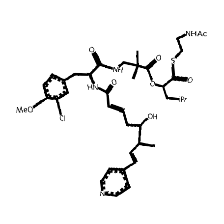 COc1ccc(CC(NC(=O)/C=C/CC(O)C(C)/C=C/c2ccncc2)C(=O)NCC(C)(C)C(=O)OC(CC(C)C)C(=O)SCCNC(C)=O)cc1Cl